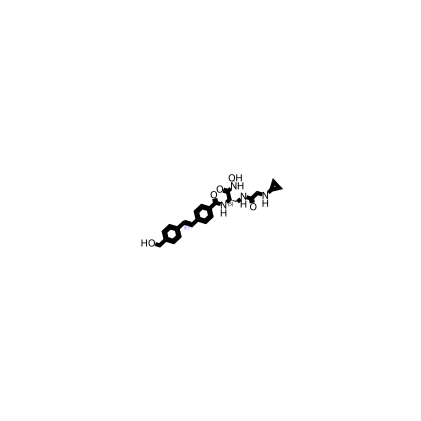 O=C(CNC1CC1)NC[C@H](NC(=O)c1ccc(/C=C/c2ccc(CO)cc2)cc1)C(=O)NO